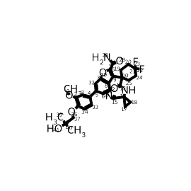 COc1cc(-c2ccc3c(C4(C(=O)NC5(C#N)CC5)CCC(F)(F)CC4)c(C(N)=O)oc3c2)ccc1OCC(C)(C)O